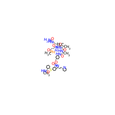 CNC(=O)c1ccccc1Sc1ccc2c(/C=C/c3ccccn3)nn(C(=O)OCc3ccc(NC(=O)C(C)NC(=O)C(NC(=O)C(CCCNC(N)=O)NC(=O)CCC(=O)PC)C(C)C)cc3)c2c1